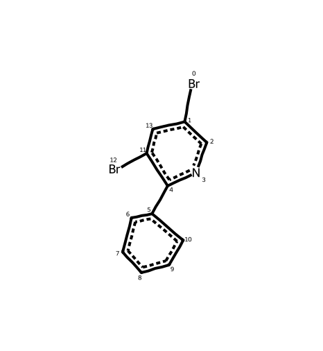 Brc1cnc(-c2ccccc2)c(Br)c1